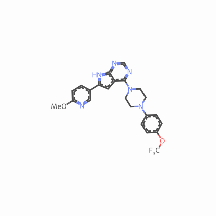 COc1ccc(-c2cc3c(N4CCN(c5ccc(OC(F)(F)F)cc5)CC4)ncnc3[nH]2)cn1